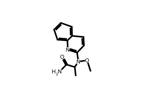 CON(c1ccc2ccccc2n1)C(C)C(N)=O